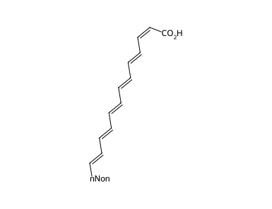 CCCCCCCCCC=CC=CC=CC=C/C=C/C=C\C(=O)O